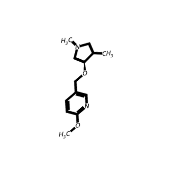 COc1ccc(CO[C@H]2CN(C)CC2C)cn1